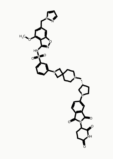 COc1cc(Cn2cccn2)cc2onc(NS(=O)(=O)c3cccc(N4CC5(CCN(C[C@@H]6CCN(c7ccc8c(c7)C(=O)N(C7CCC(=O)NC7=O)C8=O)C6)CC5)C4)c3)c12